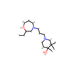 CCC1CN(CCCN2CCC(C)(O)C(C)(C)C2)CCCO1